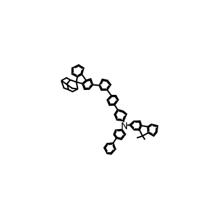 CC1(C)c2ccccc2-c2ccc(N(c3ccc(-c4ccccc4)cc3)c3ccc(-c4ccc(-c5cccc(-c6ccc7c(c6)-c6ccccc6C76C7CC8CC(C7)CC6C8)c5)cc4)cc3)cc21